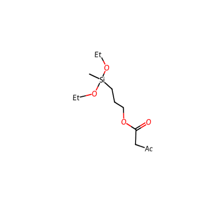 CCO[Si](C)(CCCOC(=O)CC(C)=O)OCC